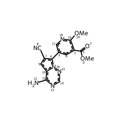 COC(=O)c1cc(-c2c(C#N)cc3c(N)ncnn23)cnc1OC